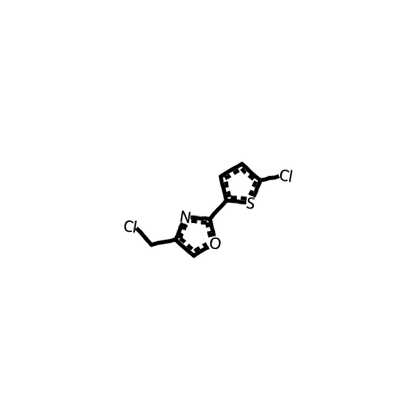 ClCc1coc(-c2ccc(Cl)s2)n1